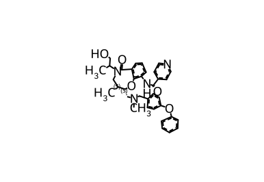 CC(CO)N1C[C@H](C)[C@@H](CN(C)Cc2ccc(Oc3ccccc3)cc2)Oc2c(NC(=O)c3ccncc3)cccc2C1=O